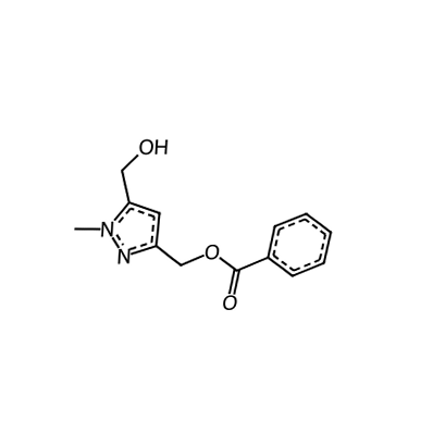 Cn1nc(COC(=O)c2ccccc2)cc1CO